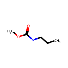 CCC[N]C(=O)OC